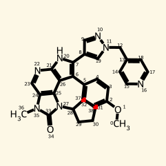 COc1ccc(-c2c(-c3cnn(Cc4ccncc4)c3)[nH]c3ncc4c(c23)n(C2CCCC2)c(=O)n4C)cc1